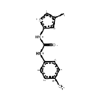 Cc1csc(NC(=O)Nc2ccc(C(F)(F)F)cc2)c1